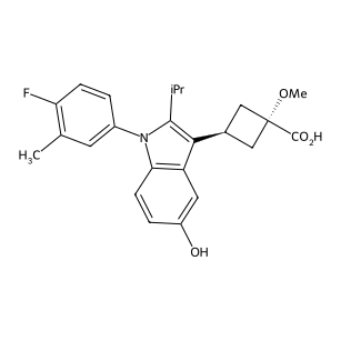 CO[C@]1(C(=O)O)C[C@@H](c2c(C(C)C)n(-c3ccc(F)c(C)c3)c3ccc(O)cc32)C1